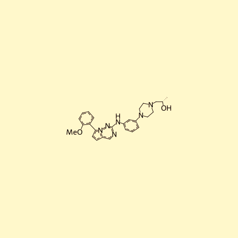 COc1ccccc1-c1ccc2cnc(Nc3cccc(N4CCN(C[C@H](C)O)CC4)c3)nn12